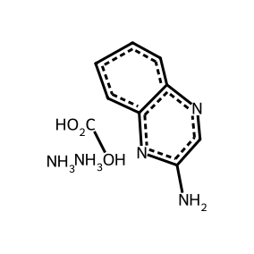 N.N.Nc1cnc2ccccc2n1.O=C(O)O